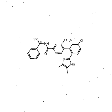 CCC[C@@H](NC(=O)c1ccc(-c2cc(Cl)ccc2-c2nc(C)c(C)[nH]2)c(C(=O)O)c1)c1ccccc1